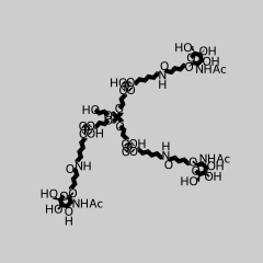 CC(=O)N[C@H]1[C@H](OCCCCC(=O)NCCCCCCOP(=O)(O)OCCCOCC(COCCO)(COCCCOP(=O)(O)OCCCCCCNC(=O)CCCCO[C@@H]2O[C@H](CO)[C@H](O)[C@H](O)[C@H]2NC(C)=O)COCCCOP(=O)(O)OCCCCCCNC(=O)CCCCO[C@@H]2O[C@H](CO)[C@H](O)[C@H](O)[C@H]2NC(C)=O)O[C@H](CO)[C@H](O)[C@@H]1O